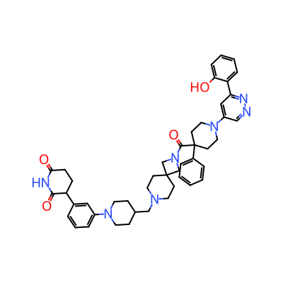 O=C1CCC(c2cccc(N3CCC(CN4CCC5(CC4)CN(C(=O)C4(c6ccccc6)CCN(c6cnnc(-c7ccccc7O)c6)CC4)C5)CC3)c2)C(=O)N1